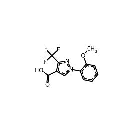 COc1ccccc1-n1cc(C(=O)O)c(C(F)(F)F)n1